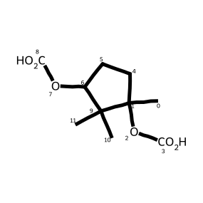 CC1(OC(=O)O)CCC(OC(=O)O)C1(C)C